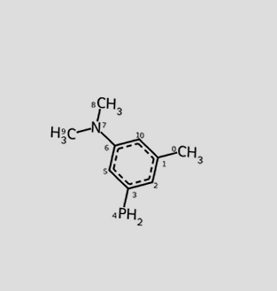 Cc1cc(P)cc(N(C)C)c1